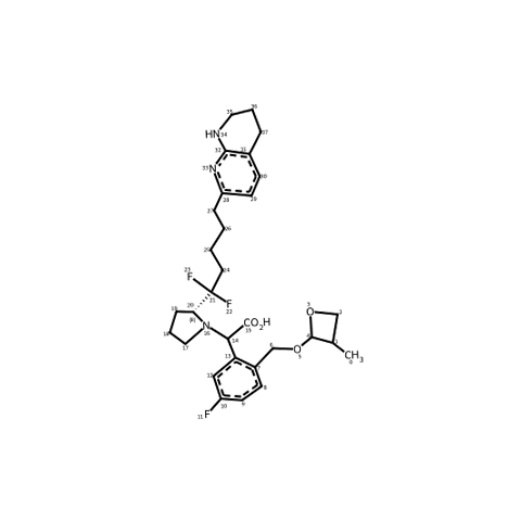 CC1COC1OCc1ccc(F)cc1C(C(=O)O)N1CCC[C@@H]1C(F)(F)CCCCc1ccc2c(n1)NCCC2